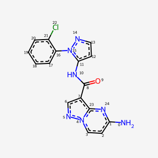 Nc1ccn2ncc(C(=O)Nc3ccnn3-c3ccccc3Cl)c2n1